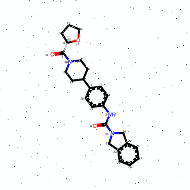 O=C(Nc1ccc(C2CCN(C(=O)[C@@H]3CCCO3)CC2)cc1)N1Cc2ccccc2C1